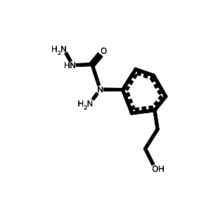 NNC(=O)N(N)c1cccc(CCO)c1